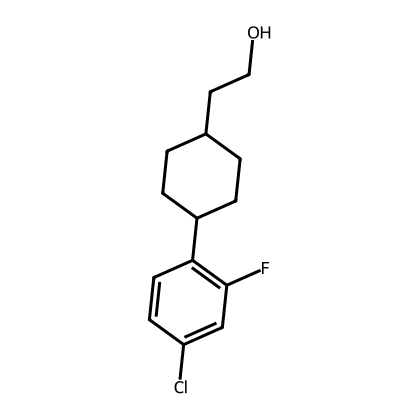 OCCC1CCC(c2ccc(Cl)cc2F)CC1